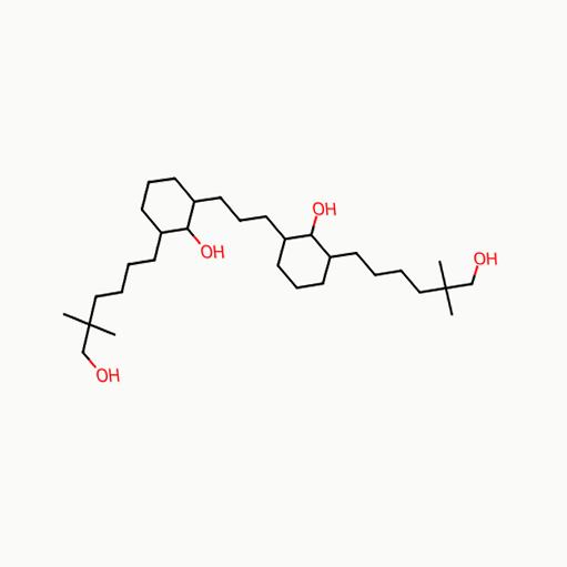 CC(C)(CO)CCCCC1CCCC(CCCC2CCCC(CCCCC(C)(C)CO)C2O)C1O